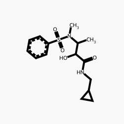 CC(C(O)C(=O)NCC1CC1)N(C)S(=O)(=O)c1ccccc1